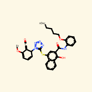 CCCCCCCCCCCCCCOc1ccccc1NC(=O)c1cc(Sc2nnnn2C2C=CC=C(OCC)C2=C=O)c2ccccc2c1O